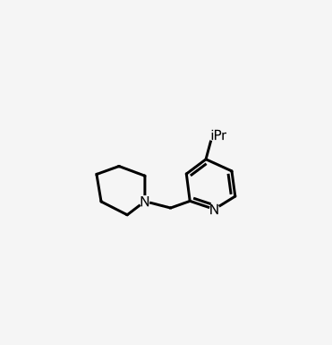 CC(C)c1ccnc(CN2CCCCC2)c1